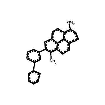 Nc1ccc2ccc3c(N)c(-c4cccc(-c5ccccc5)c4)cc4ccc1c2c43